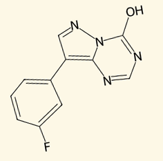 Oc1ncnc2c(-c3cccc(F)c3)cnn12